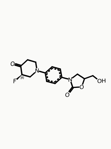 O=C1CCN(c2ccc(N3CC(CO)OC3=O)cc2)C[C@H]1F